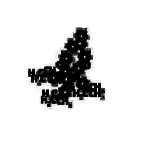 CC(C)(C)c1ccc(Nc2cc3oc4ccc(/C(=C/c5ccccc5)c5ccccc5)cc4c3cc2-c2c3c4c(c5cc(C(C)(C)C)ccc5n4-c4c(sc5ccc(C(C)(C)C)cc45)B3)c3oc4ccccc4c23)cc1